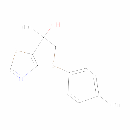 CC(C)(C)c1ccc(SCC(O)(c2cncs2)C(C)(C)C)cc1